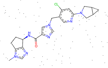 Cn1cnc2c1CC[C@H]2NC(=O)c1cn(Cc2cnc(N3CC4CC4C3)cc2Cl)cn1